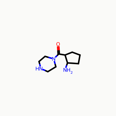 NC1CCCC1C(=O)N1CCNCC1